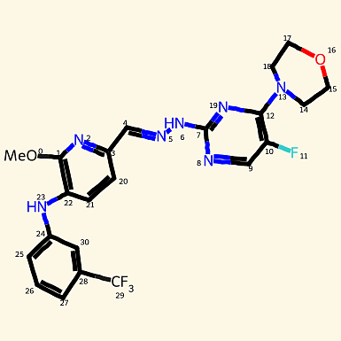 COc1nc(/C=N/Nc2ncc(F)c(N3CCOCC3)n2)ccc1Nc1cccc(C(F)(F)F)c1